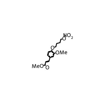 COC(=O)C=Cc1ccc(OCCCCO[N+](=O)[O-])c(OC)c1